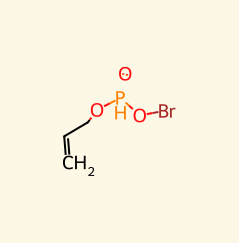 C=CCO[PH](=O)OBr